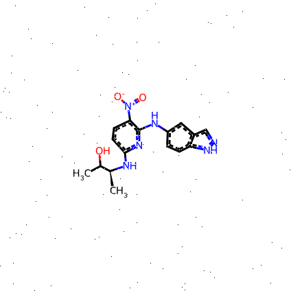 CC(O)[C@H](C)Nc1ccc([N+](=O)[O-])c(Nc2ccc3[nH]ncc3c2)n1